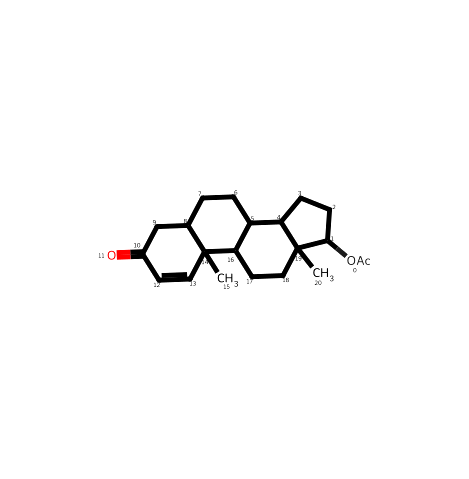 CC(=O)OC1CCC2C3CCC4CC(=O)C=CC4(C)C3CCC12C